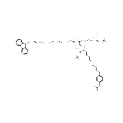 CC(C)Cc1ccc(CCCC(=O)NCCCCC(NC(=O)C(CCCCNC(=O)OC(C)(C)C)NC(=O)CCOCCOCCOCCNC(=O)OCC2c3ccccc3-c3ccccc32)C(=O)OC(C)(C)C)cc1